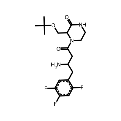 CC(C)(C)OCC1C(=O)NCCN1C(=O)CC(N)Cc1cc(F)c(F)cc1F